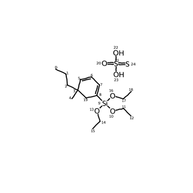 CCCC1(C)C=CC=C([Si](OCC)(OCC)OCC)C1.O=S(O)(O)=S